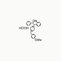 COc1ccc(CN2CCN(C(c3ccccc3C)C(O)c3ccccc3)CC2)cc1.Cl.Cl